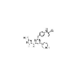 CC1=NNC(Nc2cc(N3CCCNCC3)nc(Sc3ccc(NC(=O)C4CC4)cc3)n2)C1